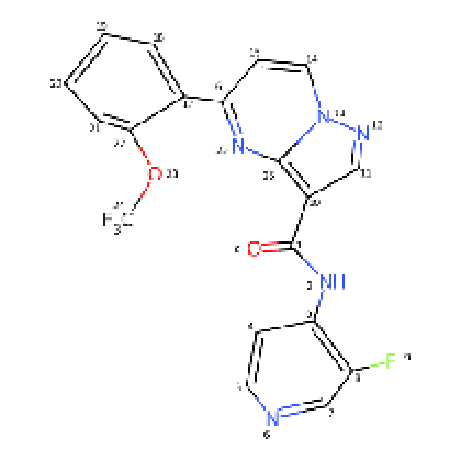 O=C(Nc1ccncc1F)c1cnn2ccc(-c3ccccc3OC(F)(F)F)nc12